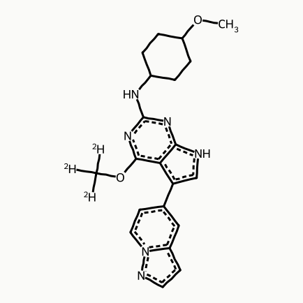 [2H]C([2H])([2H])Oc1nc(NC2CCC(OC)CC2)nc2[nH]cc(-c3ccn4nccc4c3)c12